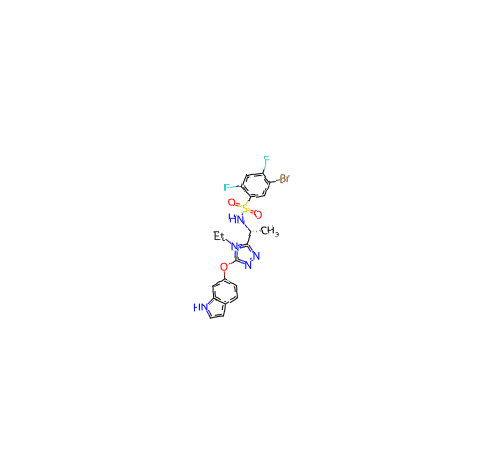 CCn1c(Oc2ccc3cc[nH]c3c2)nnc1[C@@H](C)NS(=O)(=O)c1cc(Br)c(F)cc1F